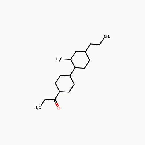 CCCC1CCC(C2CCC(C(=O)CC)CC2)C(C)C1